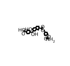 NS(=O)(=O)c1ccc(COC(=O)c2ccc3cc(O)c(C(O)c4ccc(C(=O)O)cc4)cc3c2)cc1